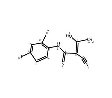 CC(O)=C(C#N)C(=S)Nc1ccc(F)cc1F